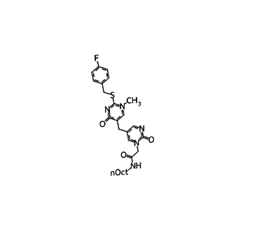 CCCCCCCCNC(=O)Cn1cc(Cc2cn(C)c(SCc3ccc(F)cc3)nc2=O)cnc1=O